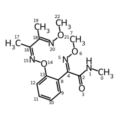 CNC(=O)C(=NOC)c1ccccc1ON=C(C)C(C)=NOC